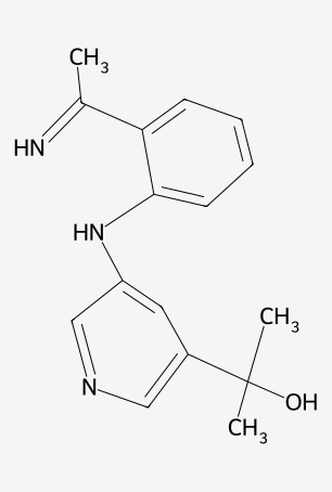 CC(=N)c1ccccc1Nc1cncc(C(C)(C)O)c1